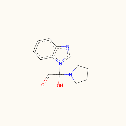 O=CC(O)(N1CCCC1)n1cnc2ccccc21